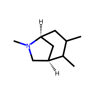 CC1C[C@H]2C[C@H](CN2C)C1C